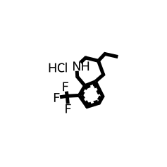 CCC1CNCc2c(cccc2C(F)(F)F)C1.Cl